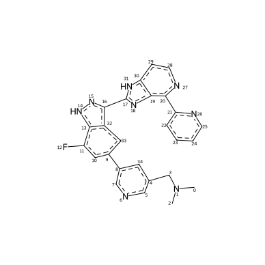 CN(C)Cc1cncc(-c2cc(F)c3[nH]nc(-c4nc5c(-c6ccccn6)nccc5[nH]4)c3c2)c1